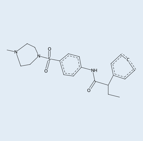 CCC(C(=O)Nc1ccc(S(=O)(=O)N2CCN(C)CC2)cc1)c1ccccc1